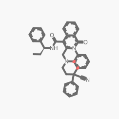 CC[C@H](NC(=O)c1c(CN2CCC(C#N)(c3ccccc3)CC2)n(-c2ccccc2)c(=O)c2ccccc12)c1ccccc1